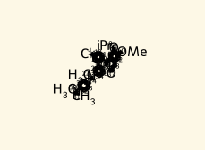 COc1cc2c(cc1OC(C)C)[C@H](c1ccc(Cl)cc1)N(c1ccc(N(C)C[C@H]3CC[C@H](N(C)C)CC3)cc1)C(=O)C2